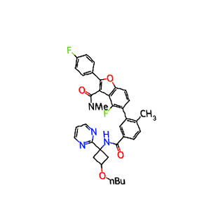 CCCCOC1CC(NC(=O)c2ccc(C)c(-c3ccc4oc(-c5ccc(F)cc5)c(C(=O)NC)c4c3F)c2)(c2ncccn2)C1